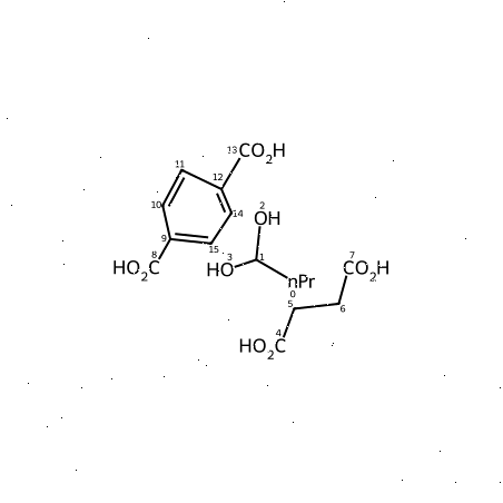 CCCC(O)O.O=C(O)CCC(=O)O.O=C(O)c1ccc(C(=O)O)cc1